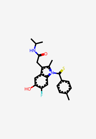 Cc1ccc(C(=S)n2c(C)c(CC(=O)NC(C)C)c3cc(O)c(F)cc32)cc1